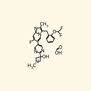 Cc1nc2cc(F)c(-c3cnc(C4(O)CN(C)C4)nc3)cn2c1Cc1ccccc1OC(F)F.O=CO